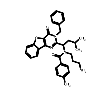 Cc1ccc(C(=O)N(CCCN)C(CC(C)C)c2nc3c(oc4ccccc43)c(=O)n2Cc2ccccc2)cc1